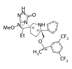 CC/C(=N\OC)[C@]1(n2cn[nH]c2=O)CC[C@@](CO[C@H](C)c2cc(C(F)(F)F)cc(C(F)(F)F)c2)(c2ccccc2)NC1